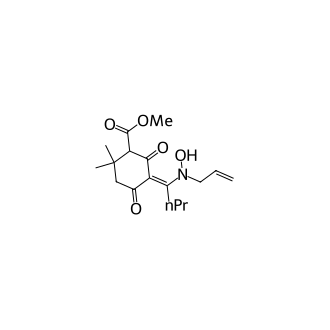 C=CCN(O)C(CCC)=C1C(=O)CC(C)(C)C(C(=O)OC)C1=O